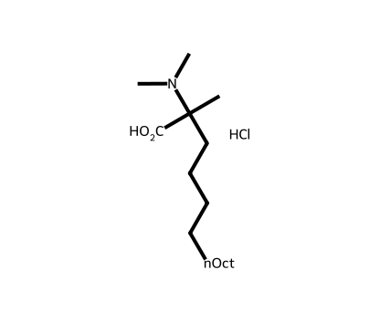 CCCCCCCCCCCCC(C)(C(=O)O)N(C)C.Cl